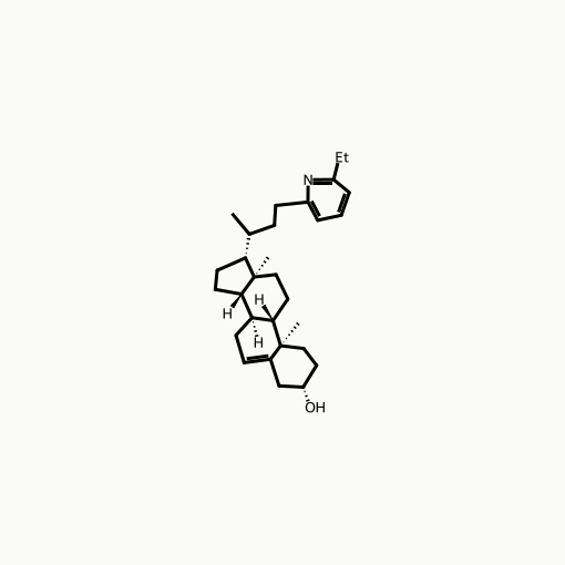 CCc1cccc(CCC(C)[C@H]2CC[C@H]3[C@@H]4CC=C5C[C@@H](O)CC[C@]5(C)[C@H]4CC[C@]23C)n1